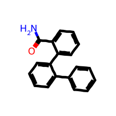 NC(=O)c1ccccc1-c1ccccc1-c1ccccc1